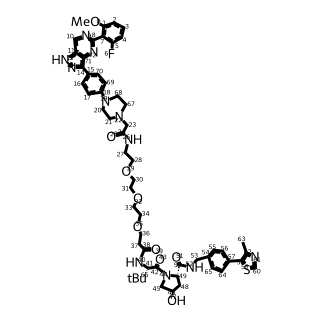 COc1cccc(F)c1-c1ncc2[nH]nc(-c3ccc(N4CCN(CC(=O)NCCOCCOCCOCCC(=O)N[C@H](C(=O)N5C[C@H](O)C[C@H]5C(=O)NCc5ccc(-c6scnc6C)cc5)C(C)(C)C)CC4)cc3)c2n1